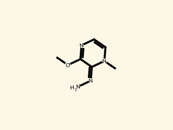 COc1nccn(C)c1=NN